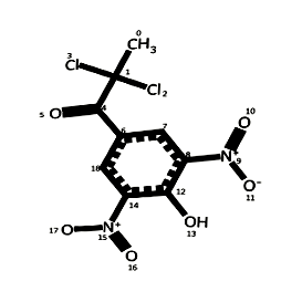 CC(Cl)(Cl)C(=O)c1cc([N+](=O)[O-])c(O)c([N+](=O)[O-])c1